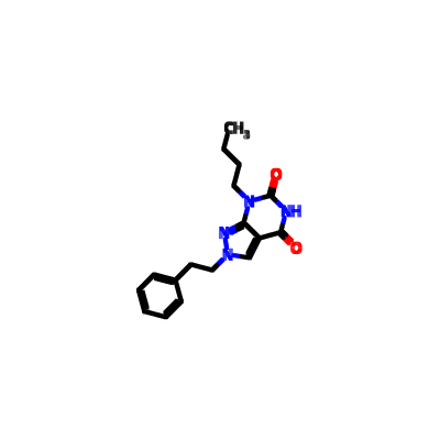 CCCCn1c(=O)[nH]c(=O)c2cn(CCc3ccccc3)nc21